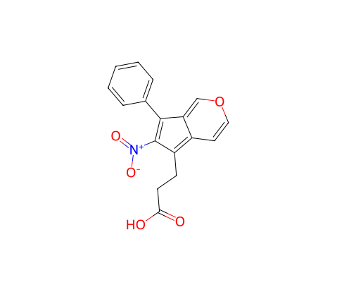 O=C(O)CCc1c2ccocc-2c(-c2ccccc2)c1[N+](=O)[O-]